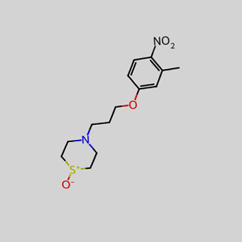 Cc1cc(OCCCN2CC[S+]([O-])CC2)ccc1[N+](=O)[O-]